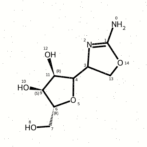 NC1=NC(C2O[C@H](CO)[C@@H](O)[C@H]2O)CO1